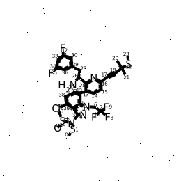 CSN(c1nn(CC(F)(F)F)c2c(-c3ccc(C#CC(C)(C)SC)nc3C(N)Cc3cc(F)cc(F)c3)ccc(Cl)c12)[S+](C)[O-]